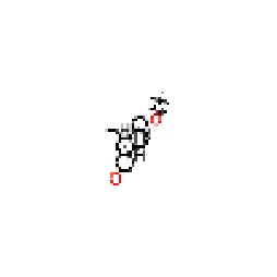 CCC1C=C2CC(=O)CC[C@]2(C)[C@@H]2CC[C@]3(C)C(O[Si](C)(C)C(C)(C)C)CC[C@H]3[C@H]12